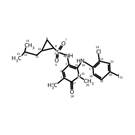 Cc1cc(NS(=O)(=O)C2CC2CC(C)C)c(Nc2ccc(I)cc2Cl)n(C)c1=O